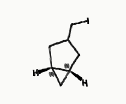 ICC1C[C@@H]2C[C@@H]2C1